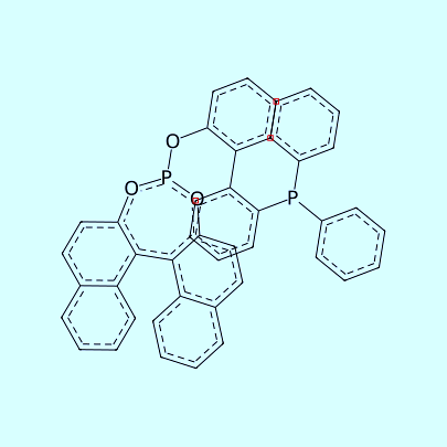 c1ccc(P(c2ccccc2)c2ccccc2-c2ccccc2Op2oc3ccc4ccccc4c3c3c(ccc4ccccc43)o2)cc1